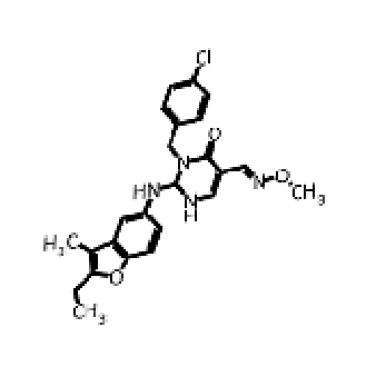 CCc1oc2ccc(NC3NC=C(C=NOC)C(=O)N3Cc3ccc(Cl)cc3)cc2c1C